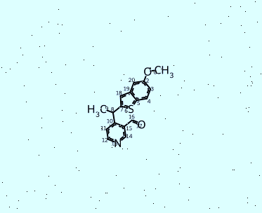 COc1ccc2sc(C(C)c3ccncc3C=O)cc2c1